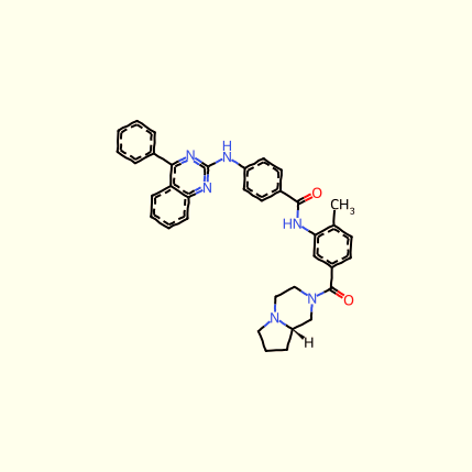 Cc1ccc(C(=O)N2CCN3CCC[C@H]3C2)cc1NC(=O)c1ccc(Nc2nc(-c3ccccc3)c3ccccc3n2)cc1